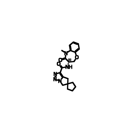 CN1C(=O)[C@@H](NC(=O)c2nnn3c2CC2(CCCC2)C3)COc2ccccc21